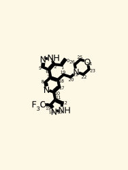 C=Cc1[nH]ncc1-c1cnc(-c2c[nH]nc2C(F)(F)F)cc1CCN1CCOCC1